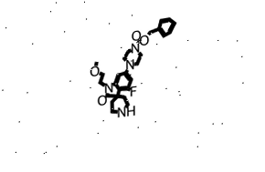 COCCN1C(=O)C2(CCNCC2)c2c(F)cc(N3CCN(C(=O)OCc4ccccc4)CC3)cc21